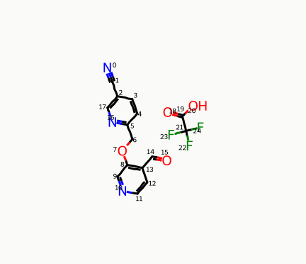 N#Cc1ccc(COc2cnccc2C=O)nc1.O=C(O)C(F)(F)F